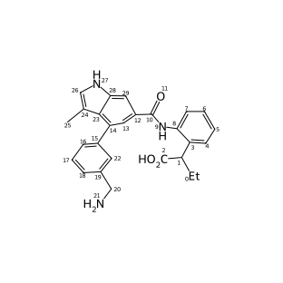 CCC(C(=O)O)c1ccccc1NC(=O)c1cc(-c2cccc(CN)c2)c2c(C)c[nH]c2c1